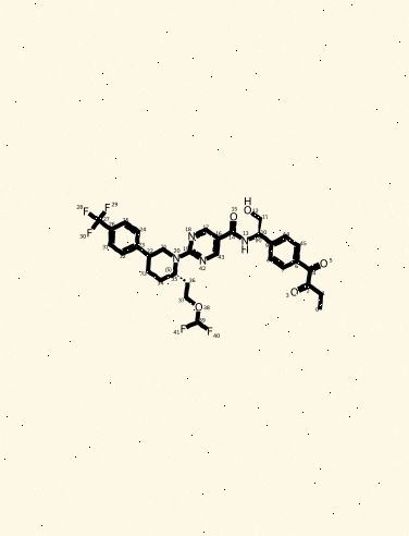 CCC(=O)C(=O)c1ccc([C@H](CO)NC(=O)c2cnc(N3CC(c4ccc(C(F)(F)F)cc4)CC[C@H]3CCOC(F)F)nc2)cc1